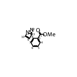 COC(=O)c1ccccc1.c1cn2nc1-2